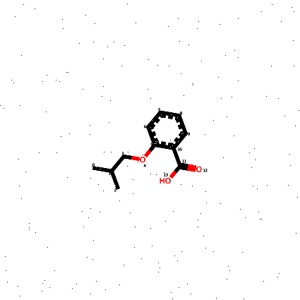 CC(C)COc1ccccc1C(=O)O